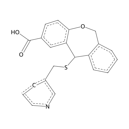 O=C(O)c1ccc2c(c1)C(SCc1cccnc1)c1ccccc1CO2